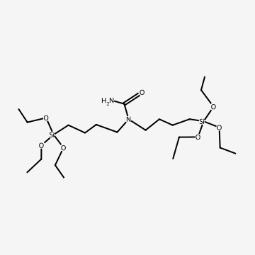 CCO[Si](CCCCN(CCCC[Si](OCC)(OCC)OCC)C(N)=O)(OCC)OCC